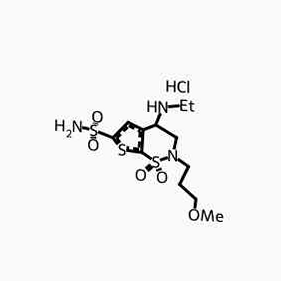 CCNC1CN(CCCOC)S(=O)(=O)c2sc(S(N)(=O)=O)cc21.Cl